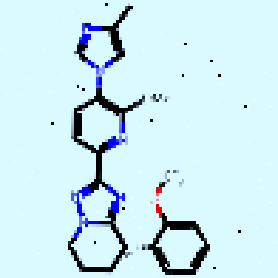 COc1nc(-c2nc3n(n2)CCC[C@H]3c2ccccc2OC(F)(F)F)ccc1-n1cnc(C)c1